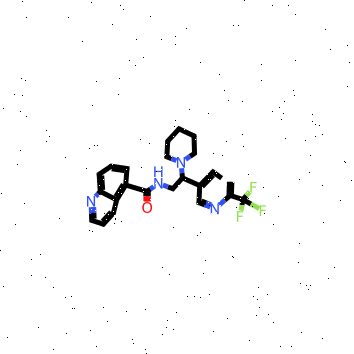 C=C(/N=C\C(=C/C)C(CNC(=O)c1cccc2ncccc12)N1CCCCC1)C(F)(F)F